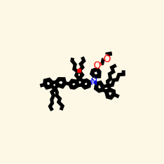 C=COCCOc1ccc(N(c2ccc3c(c2)C(CCCCCC)(CCCCCC)c2cc(C)ccc2-3)c2ccc3c(c2)C(CCCCCC)(CCCCCC)c2cc(-c4ccc5c(c4)C(CCCCCC)(CCCCCC)c4cc(C)ccc4-5)ccc2-3)cc1